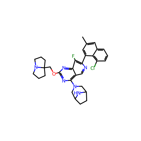 Cc1cc(-c2ncc3c(N4CC5CCC(C4)N5)nc(OCC45CCCN4CCC5)nc3c2F)c2c(Cl)cccc2c1